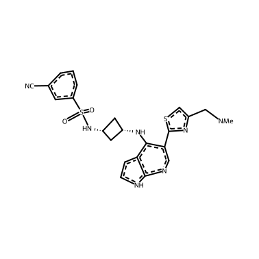 CNCc1csc(-c2cnc3[nH]ccc3c2N[C@H]2C[C@@H](NS(=O)(=O)c3cccc(C#N)c3)C2)n1